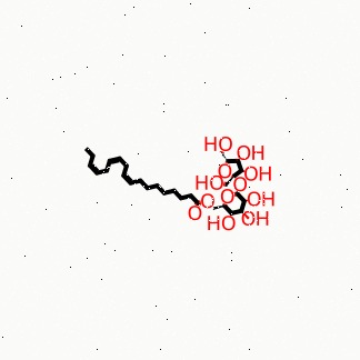 CC/C=C\C/C=C\C/C=C\CCCCCCCC(=O)OC[C@H]1O[C@H](O[C@]2(CO)O[C@H](CO)[C@@H](O)[C@@H]2O)[C@H](O)[C@@H](O)[C@@H]1O